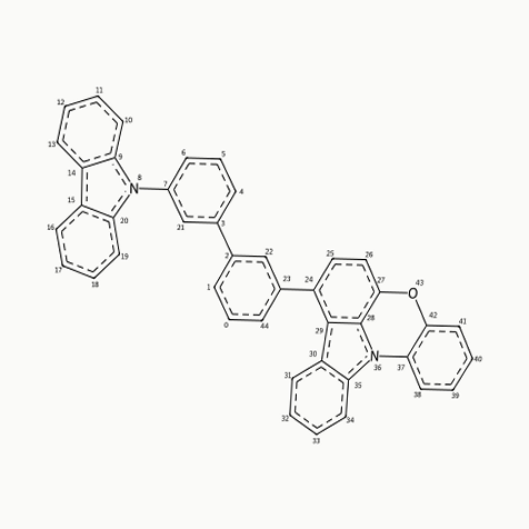 c1cc(-c2cccc(-n3c4ccccc4c4ccccc43)c2)cc(-c2ccc3c4c2c2ccccc2n4-c2ccccc2O3)c1